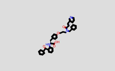 O=C(c1ccccc1)c1ccccc1N[C@@H](Cc1ccc(OCCCN(Cc2ccccc2)C(=O)/C=C/c2cccnc2)cc1)C(=O)O